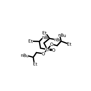 CCCCC(CC)C[O][Zr](=[O])([CH2]C(CC)CCCC)([CH2]C(CC)CCCC)[O]CC(CC)CCCC